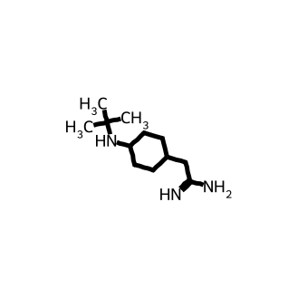 CC(C)(C)NC1CCC(CC(=N)N)CC1